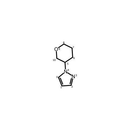 [c]1ccnn1C1CCCOC1